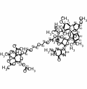 COc1ccc(C(OC(C(=O)C(C)C)[C@H]2O[C@@H](n3cnc4c(=O)[nH]c(N)nc43)[C@H](OC)[C@@H]2OP(=O)(OCCOCCOCCOCCO[C@@H]2O[C@H](COC(C)=O)[C@H](OC(C)=O)[C@H](OC(C)=O)[C@H]2NC(C)=O)N(C(C)C)C(C)C)(c2ccccc2)c2ccc(OC)cc2)cc1